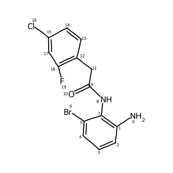 Nc1cccc(Br)c1NC(=O)Cc1ccc(Cl)cc1F